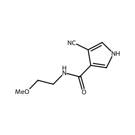 COCCNC(=O)c1c[nH]cc1C#N